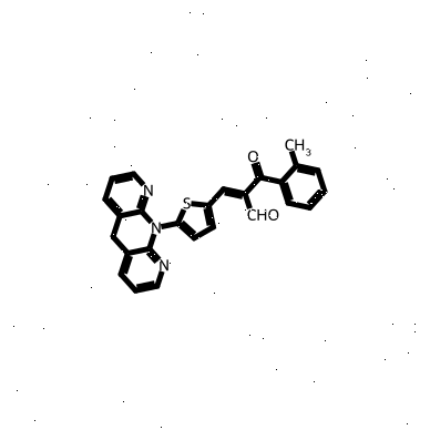 Cc1ccccc1C(=O)/C(C=O)=C/c1ccc(N2c3ncccc3Cc3cccnc32)s1